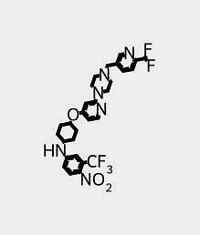 O=[N+]([O-])c1ccc(N[C@H]2CC[C@H](Oc3ccnc(N4CCN(Cc5ccc(C(F)F)nc5)CC4)c3)CC2)cc1C(F)(F)F